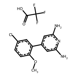 COc1ccc(Cl)cc1-c1cc(N)nc(N)c1.O=C(O)C(F)(F)F